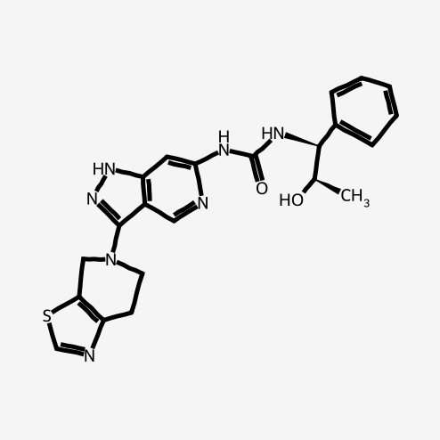 C[C@@H](O)[C@@H](NC(=O)Nc1cc2[nH]nc(N3CCc4ncsc4C3)c2cn1)c1ccccc1